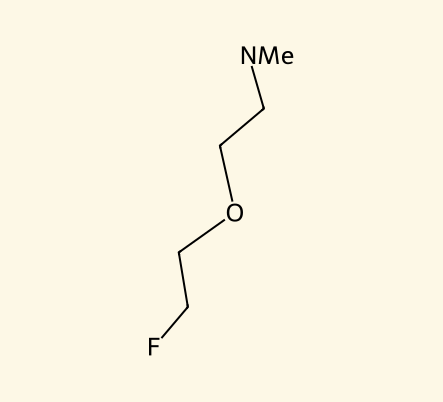 CNCCOCCF